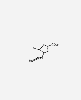 N=[N+]=NC1CN(C(=O)[O-])CC1F